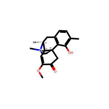 COC1=C[C@@H]2[C@@H]3Cc4ccc(C)c(O)c4[C@]2(CCN3C)CC1=O